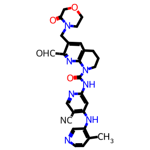 Cc1ccncc1Nc1cc(NC(=O)N2CCCc3cc(CN4CCOCC4=O)c(C=O)nc32)ncc1C#N